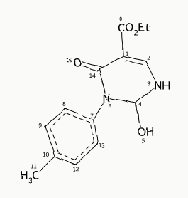 CCOC(=O)C1=CNC(O)N(c2ccc(C)cc2)C1=O